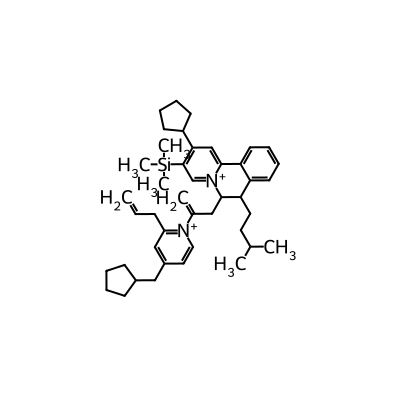 C=CCc1cc(CC2CCCC2)cc[n+]1C(=C)CC1C(CCC(C)C)c2ccccc2-c2cc(C3CCCC3)c([Si](C)(C)C)c[n+]21